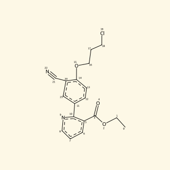 CCOC(=O)c1cccnc1-c1ccc(OCCCCl)c(C#N)c1